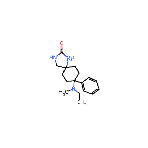 CCN(C)C1(c2ccccc2)CCC2(CC1)CNC(=O)N2